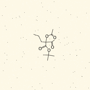 CCCC(OC(C)=O)(C(C)=O)C(=O)OC(C)(C)C